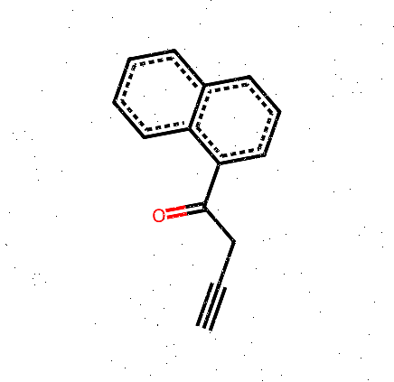 C#CCC(=O)c1cccc2ccccc12